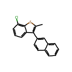 Cc1sc2c(Cl)cccc2c1-c1ccc2ccccc2c1